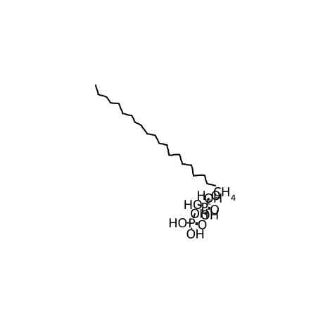 C.CCCCCCCCCCCCCCCCCCCCC.O.O=P(O)(O)O.O=P(O)(O)O